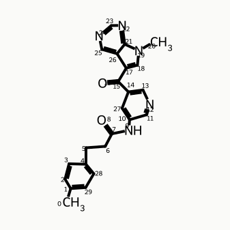 Cc1ccc(CCC(=O)Nc2cncc(C(=O)c3cn(C)c4ncncc34)c2)cc1